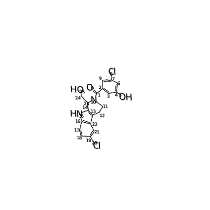 O=C(c1cc(O)cc(Cl)c1)N1CCc2c([nH]c3ccc(Cl)cc23)C1CO